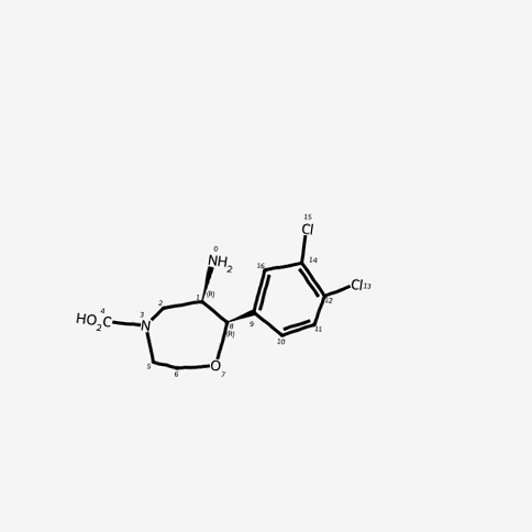 N[C@@H]1CN(C(=O)O)CCO[C@@H]1c1ccc(Cl)c(Cl)c1